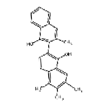 Cc1cc2c(O)c(-c3c(C)cc4ccccc4c3O)ccc2c(C)c1C